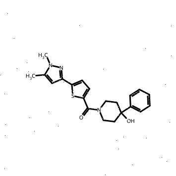 Cc1cc(-c2ccc(C(=O)N3CCC(O)(c4ccccc4)CC3)s2)nn1C